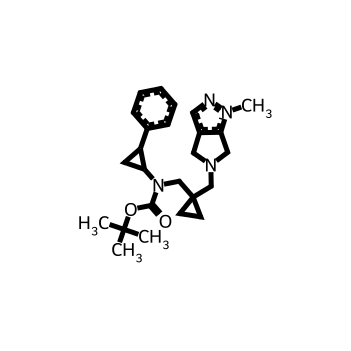 Cn1ncc2c1CN(CC1(CN(C(=O)OC(C)(C)C)C3CC3c3ccccc3)CC1)C2